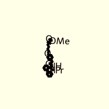 COC(=O)C(C)(C)CCCCOc1ccc(CC(=O)NC(CC(C)C)c2ccccc2N2CCCCC2)cc1